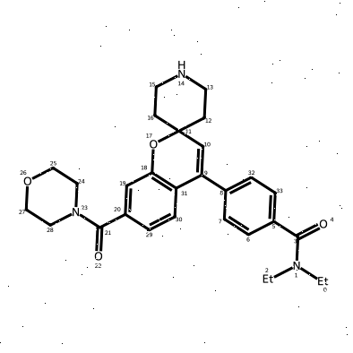 CCN(CC)C(=O)c1ccc(C2=CC3(CCNCC3)Oc3cc(C(=O)N4CCOCC4)ccc32)cc1